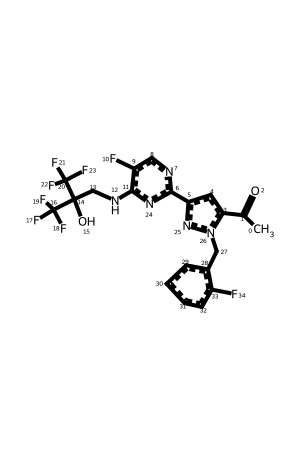 CC(=O)c1cc(-c2ncc(F)c(NCC(O)(C(F)(F)F)C(F)(F)F)n2)nn1Cc1ccccc1F